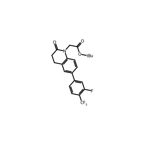 CC(C)(C)OC(=O)CN1C(=O)CCc2cc(-c3ccc(C(F)(F)F)c(F)c3)ccc21